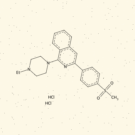 CCN1CCN(c2nc(-c3ccc(S(C)(=O)=O)cc3)cc3ccccc23)CC1.Cl.Cl